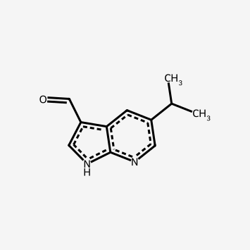 CC(C)c1cnc2[nH]cc(C=O)c2c1